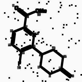 C=C1CCC(c2nc(C(=O)OC)ccc2F)CC1